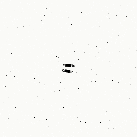 [O]=[Er].[O]=[Sc]